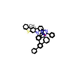 CC12CCCC=C1SC1=CC3C(C=C12)C1=C(CCC=C1)N3c1ccc(-c2cc(C3=CCCC=C3)ccc2C2=CCC=CC=C2)cc1C1=NC(c2ccccc2)=NC2(C3=CC=CCC3)CN12